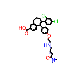 CN(C)C(=O)/C=C/CNCCOc1ccc(C2=C(c3ccc(Cl)cc3Cl)CCCc3cc(C(=O)O)ccc32)cc1